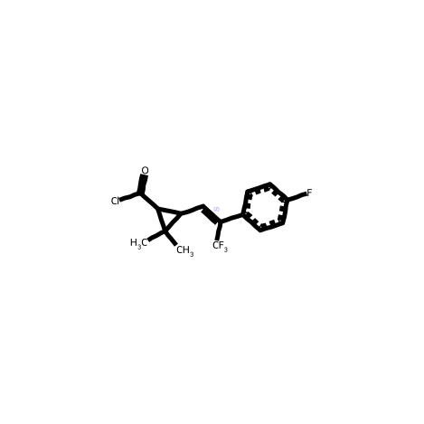 CC1(C)C(/C=C(/c2ccc(F)cc2)C(F)(F)F)C1C(=O)Cl